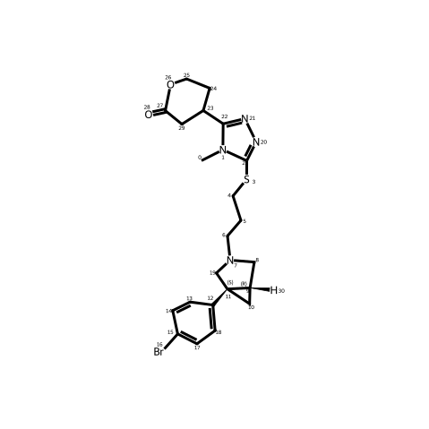 Cn1c(SCCCN2C[C@@H]3C[C@]3(c3ccc(Br)cc3)C2)nnc1C1CCOC(=O)C1